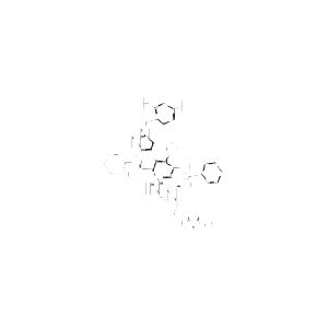 COCCN1CNn2c(COC3CCCCO3)c(-c3cnn(Cc4ccc(F)cc4F)c3)c(=O)c(OCc3ccccc3)c2C1=O